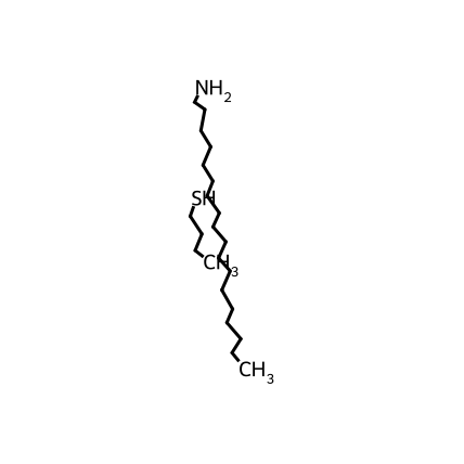 CCCCCCCCCCCCCCCCCCN.CCCCS